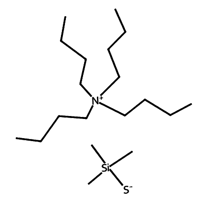 CCCC[N+](CCCC)(CCCC)CCCC.C[Si](C)(C)[S-]